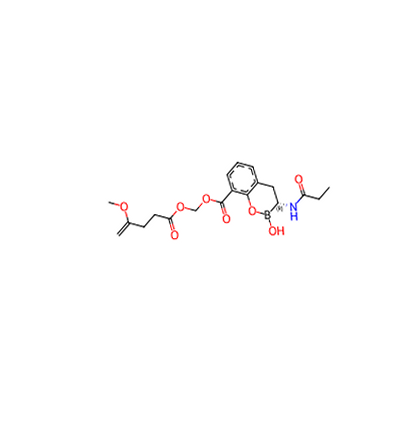 C=C(CCC(=O)OCOC(=O)c1cccc2c1OB(O)[C@@H](NC(=O)CC)C2)OC